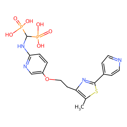 Cc1sc(-c2ccncc2)nc1CCOc1ccc(NC(P(=O)(O)O)P(=O)(O)O)nc1